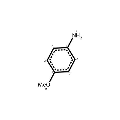 COc1c[c]c(N)cc1